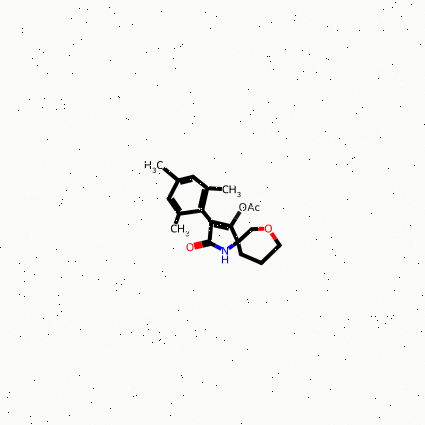 CC(=O)OC1=C(c2c(C)cc(C)cc2C)C(=O)NC12CCCOC2